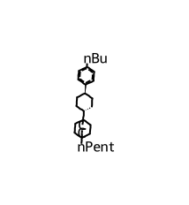 CCCCCC12CCC([C@H]3CC[C@H](c4ccc(CCCC)cc4)CC3)(CC1)CC2